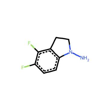 NN1CCc2c1ccc(F)c2F